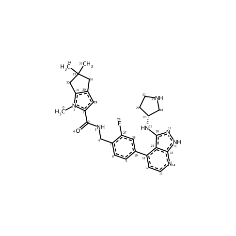 Cn1c(C(=O)NCc2ccc(-c3ccnc4[nH]nc(N[C@@H]5CCNC5)c34)cc2F)cc2c1CC(C)(C)C2